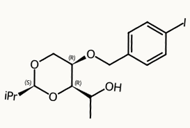 CC(C)[C@H]1OC[C@@H](OCc2ccc(I)cc2)[C@@H](C(C)O)O1